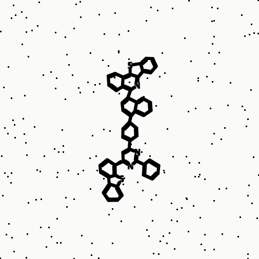 c1ccc(-c2nc(-c3ccc(-c4ccc(-c5nc6c7ccccc7sc6c6ccccc56)c5ccccc45)cc3)cc(-c3cccc4c3sc3ccccc34)n2)cc1